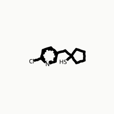 SC1(Cc2ccc(Cl)nc2)CCCC1